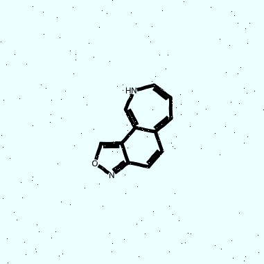 C1=CNC=c2c(ccc3nocc23)=C1